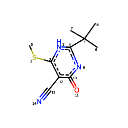 CSc1[nH]c(C(C)(C)C)nc(=O)c1C#N